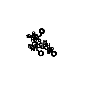 CC(C)(C)S(=O)(=O)CC(Cc1ccccc1)C(=O)NC(Cc1c[nH]cn1)C(=O)N[C@@H](CC1CCCCC1)[C@@H](O)C[C@@H](O)CNS(=O)(=O)C1CCCCC1